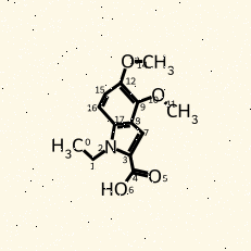 CCn1c(C(=O)O)cc2c(OC)c(OC)ccc21